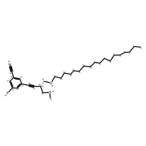 CCCCCCCCCCCCCCCCCCOC[C@@H](C#Cc1cc(F)cc(C#N)c1)COC